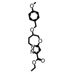 CCOC(=O)c1cc2n(n1)CCC(OCc1ccc(OC)cc1)CO2